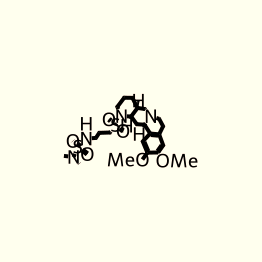 COc1cc2c(cc1OC)[C@@H]1C[C@H]3[C@H](CCCN3S(=O)(=O)CCCNS(=O)(=O)N(C)C)CN1CC2